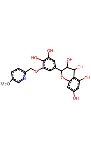 COc1ccc(COc2cc(C3Oc4cc(O)cc(O)c4C(O)C3O)cc(O)c2O)nc1